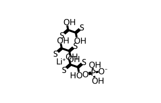 O=P([O-])(O)O.OC(=S)C(O)=S.OC(=S)C(O)=S.OC(=S)C(O)=S.[Li+]